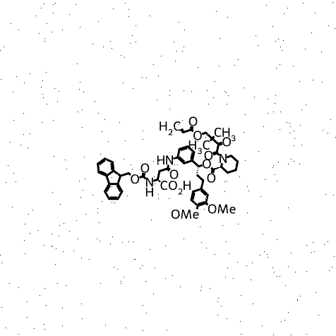 C=CC(=O)OCC(C)(C)C(=O)C(=O)N1CCCC[C@H]1C(=O)O[C@H](CCc1ccc(OC)c(OC)c1)c1cccc(NC(=O)C[C@H](NC(=O)OCC2c3ccccc3-c3ccccc32)C(=O)O)c1